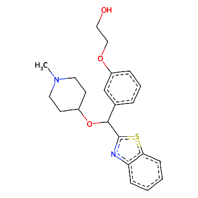 CN1CCC(OC(c2cccc(OCCO)c2)c2nc3ccccc3s2)CC1